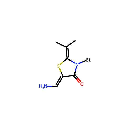 CCn1c(=C(C)C)s/c(=C\N)c1=O